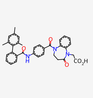 Cc1cc(C)c(-c2ccccc2C(=O)Nc2ccc(C(=O)N3CCC(=O)N(CC(=O)O)c4ccccc43)cc2)c(C)c1